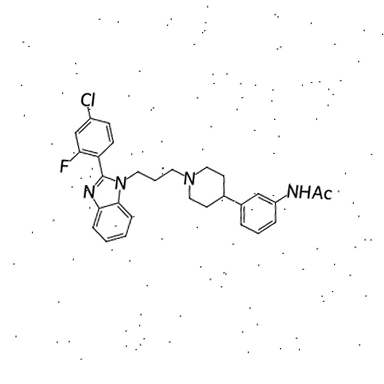 CC(=O)Nc1cccc(C2CCN(CCCn3c(-c4ccc(Cl)cc4F)nc4ccccc43)CC2)c1